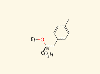 CCO[C@@H](Cc1ccc(C)cc1)C(=O)O